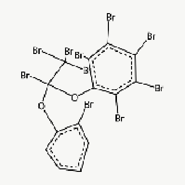 Brc1ccccc1OC(Br)(Oc1c(Br)c(Br)c(Br)c(Br)c1Br)C(Br)(Br)Br